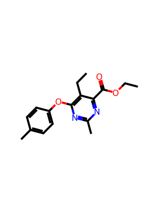 CCOC(=O)c1nc(C)nc(Oc2ccc(C)cc2)c1CC